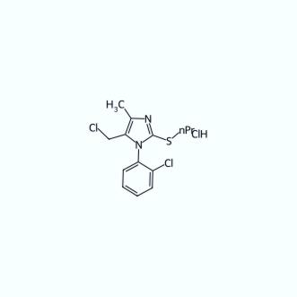 CCCSc1nc(C)c(CCl)n1-c1ccccc1Cl.Cl